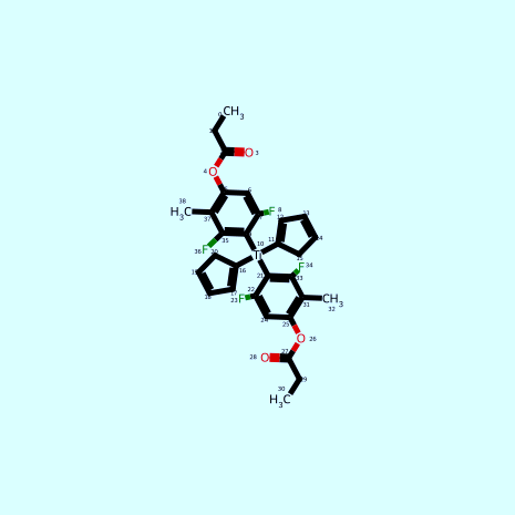 CCC(=O)Oc1cc(F)[c]([Ti]([C]2=CC=CC2)([C]2=CC=CC2)[c]2c(F)cc(OC(=O)CC)c(C)c2F)c(F)c1C